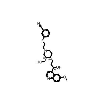 COc1ccc2nccc([C@H](O)CC[C@@H]3CCN(CCSc4cccc(C#N)c4)C[C@@H]3CO)c2c1